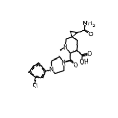 CN1CC2(CC(C(=O)O)C1C(=O)N1CCN(c3cccc(Cl)c3)CC1)CC2C(N)=O